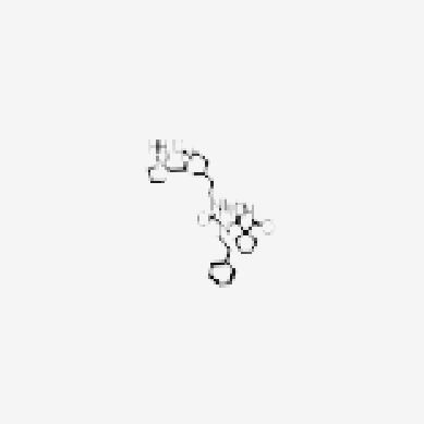 CN1CCC(CCNC(=O)N(CCc2ccccc2)C(=O)C2(C(N)=O)CCCC2)C[C@@H]1[C@@H]1CCCN1